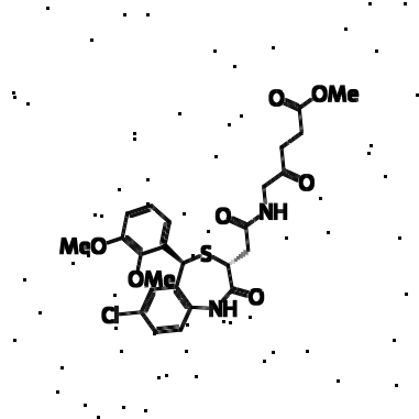 COC(=O)CCC(=O)CNC(=O)C[C@H]1S[C@H](c2cccc(OC)c2OC)c2cc(Cl)ccc2NC1=O